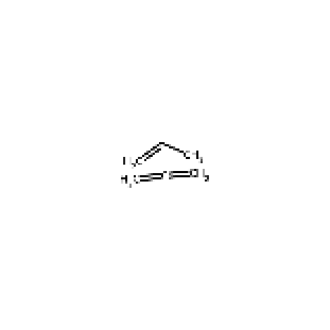 C=C=C.C=CC